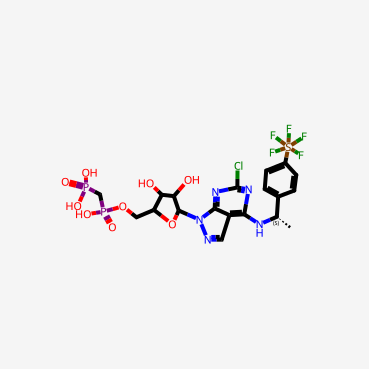 C[C@H](Nc1nc(Cl)nc2c1cnn2C1OC(COP(=O)(O)CP(=O)(O)O)C(O)C1O)c1ccc(S(F)(F)(F)(F)F)cc1